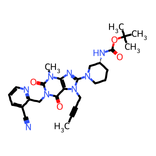 CC#CCn1c(N2CCC[C@@H](NC(=O)OC(C)(C)C)C2)nc2c1c(=O)n(Cc1ncccc1C#N)c(=O)n2C